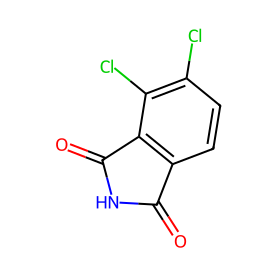 O=C1NC(=O)c2c1ccc(Cl)c2Cl